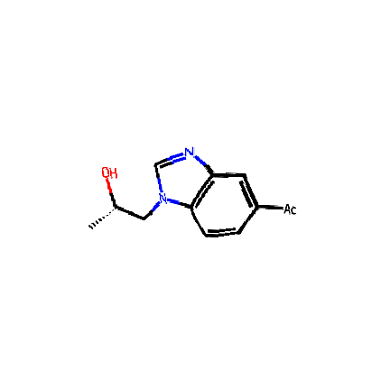 CC(=O)c1ccc2c(c1)ncn2C[C@H](C)O